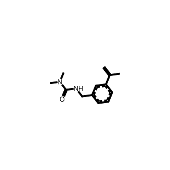 C=C(C)c1cccc(CNC(=O)N(C)C)c1